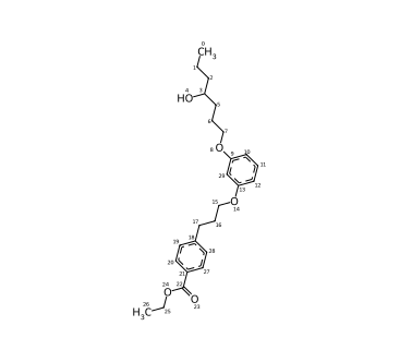 CCCC(O)CCCOc1cccc(OCCCc2ccc(C(=O)OCC)cc2)c1